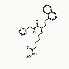 O=C(CCCCC=C(COc1cccc2ccccc12)C(=O)NCc1cccs1)NO